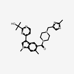 Cc1nc(CN2CCN(C(=O)c3cc4c(-c5ccnc(C(C)(C)O)n5)cn(C)c4cc3C)CC2)cs1